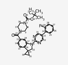 CC(C)(C)OC(=O)N1CCN(C(=O)c2ccc3c(c2)N(c2ncc(-c4ccccc4F)cn2)CC32CC2)CC1